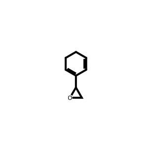 C1=CC(C2CO2)=CCC1